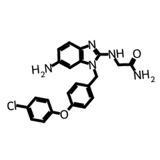 NC(=O)CNc1nc2ccc(N)cc2n1Cc1ccc(Oc2ccc(Cl)cc2)cc1